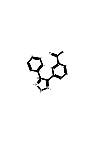 CC(=O)c1cccc(C2=N[N]N=C2c2ccccc2)c1